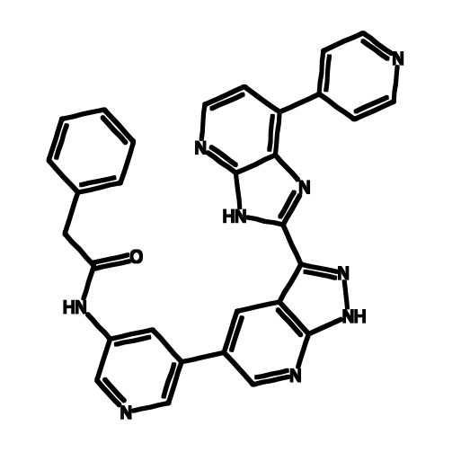 O=C(Cc1ccccc1)Nc1cncc(-c2cnc3[nH]nc(-c4nc5c(-c6ccncc6)ccnc5[nH]4)c3c2)c1